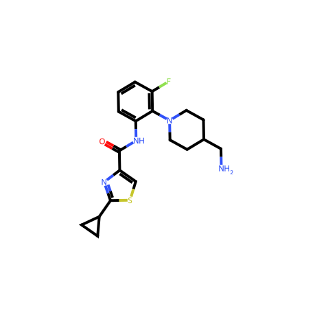 NCC1CCN(c2c(F)cccc2NC(=O)c2csc(C3CC3)n2)CC1